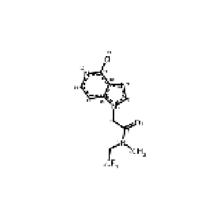 CN(CC(F)(F)F)C(=O)Cn1cnc2c(Cl)nccc21